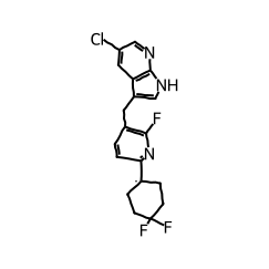 Fc1nc([C]2CCC(F)(F)CC2)ccc1Cc1c[nH]c2ncc(Cl)cc12